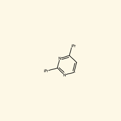 CC(C)c1c[c]nc(C(C)C)n1